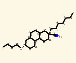 CCCCCCC[C@@]1(C#N)CCC2C(CCC3C[C@@H](CCCCC)CCC32)C1